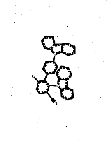 N#Cc1ccc(F)c(-c2ccc(-n3c4ccccc4c4ccccc43)cc2)c1-n1c2ccccc2c2ccccc21